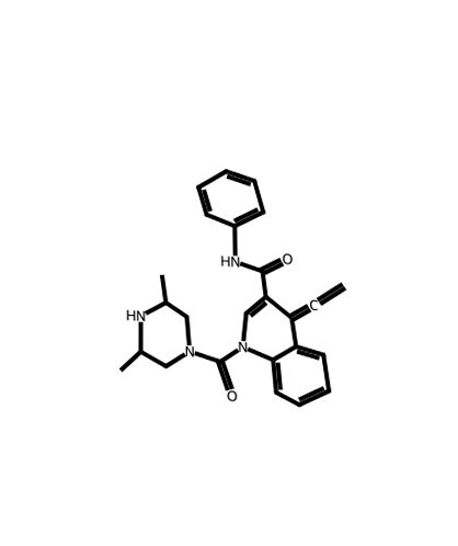 C=C=C1C(C(=O)Nc2ccccc2)=CN(C(=O)N2CC(C)NC(C)C2)c2ccccc21